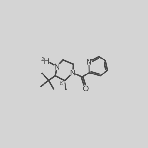 [2H]N1CCN(C(=O)c2ccccn2)[C@@H](C)C1C(C)(C)C